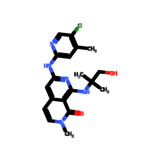 Cc1cc(Nc2cc3ccn(C)c(=O)c3c(NC(C)(C)CO)n2)ncc1Cl